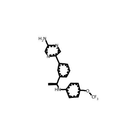 C=C(Nc1ccc(OC(F)(F)F)cc1)c1cccc(-c2cnc(N)cn2)c1